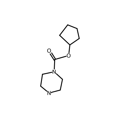 O=C(OC1CCCC1)N1CC[N]CC1